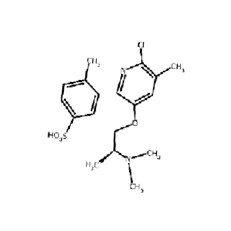 Cc1cc(OC[C@H](C)N(C)C)cnc1Cl.Cc1ccc(S(=O)(=O)O)cc1